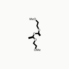 C=C(OCCOC)OC(=C)OCCOC